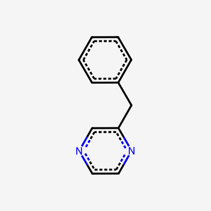 c1ccc(Cc2cnccn2)cc1